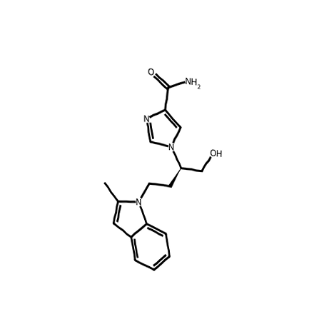 Cc1cc2ccccc2n1CC[C@H](CO)n1cnc(C(N)=O)c1